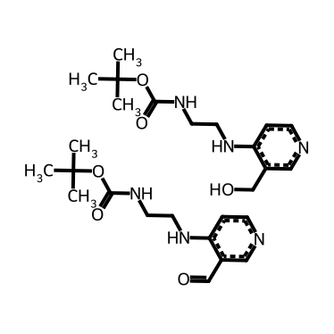 CC(C)(C)OC(=O)NCCNc1ccncc1C=O.CC(C)(C)OC(=O)NCCNc1ccncc1CO